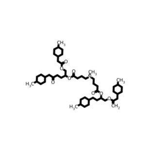 C=C(CC1CCC(C)CC1)OCC(CCC1CCC(C)CC1)OC(=O)CCCN(C)CCCC(=O)OC(CCC(=O)CC1CCC(C)CC1)COC(=O)CC1CCC(C)CC1